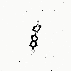 O=C1CC2CC(N3CCNCC3)CC2C1